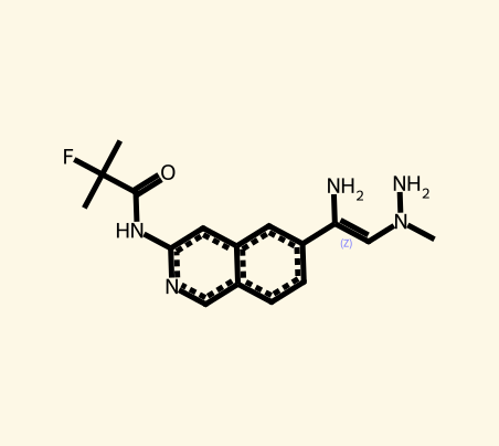 CN(N)/C=C(\N)c1ccc2cnc(NC(=O)C(C)(C)F)cc2c1